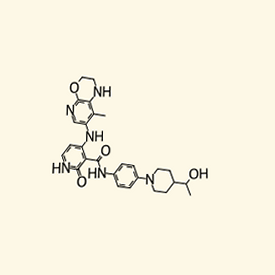 Cc1c(Nc2cc[nH]c(=O)c2C(=O)Nc2ccc(N3CCC(C(C)O)CC3)cc2)cnc2c1NCCO2